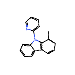 CC1CC=Cc2c1n(-c1ccccn1)c1ccccc21